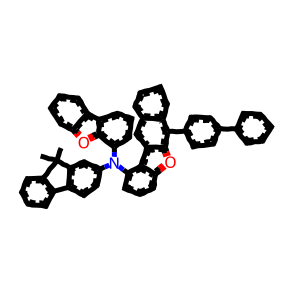 CC1(C)c2ccccc2-c2ccc(N(c3cccc4c3oc3ccccc34)c3cccc4oc5c(-c6ccc(-c7ccccc7)cc6)c6ccccc6cc5c34)cc21